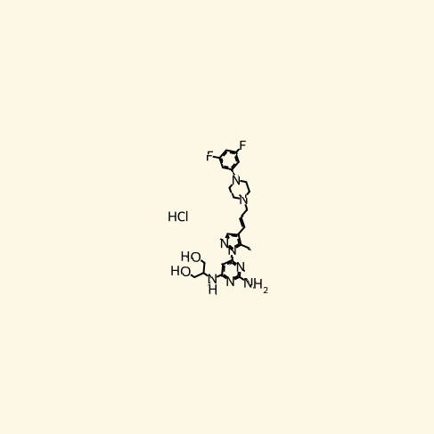 Cc1c(/C=C/CN2CCN(c3cc(F)cc(F)c3)CC2)cnn1-c1cc(NC(CO)CO)nc(N)n1.Cl